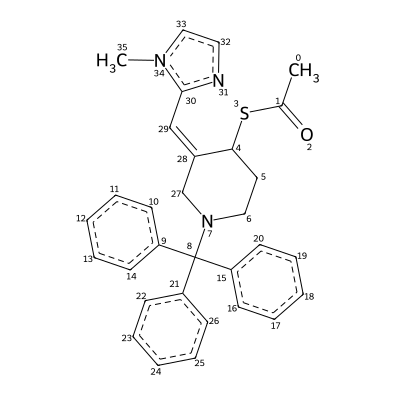 CC(=O)SC1CCN(C(c2ccccc2)(c2ccccc2)c2ccccc2)CC1=Cc1nccn1C